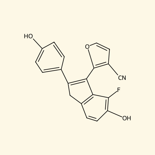 N#Cc1ccoc1C1=C(c2ccc(O)cc2)Cc2ccc(O)c(F)c21